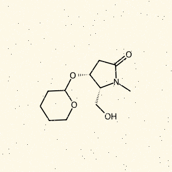 CN1C(=O)C[C@@H](OC2CCCCO2)[C@H]1CO